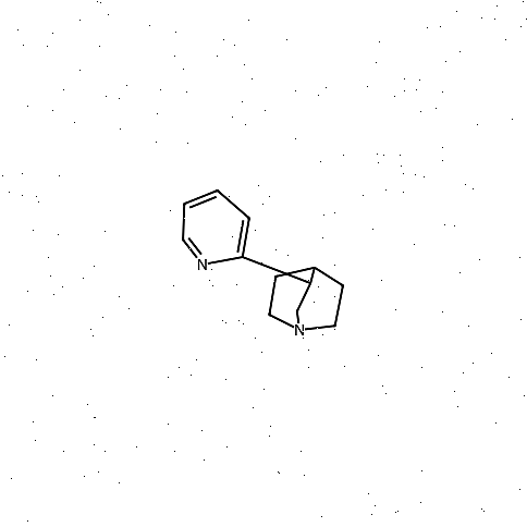 c1ccc(C2CN3CCC2CC3)nc1